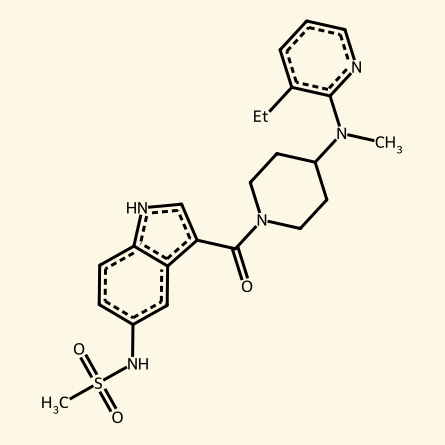 CCc1cccnc1N(C)C1CCN(C(=O)c2c[nH]c3ccc(NS(C)(=O)=O)cc23)CC1